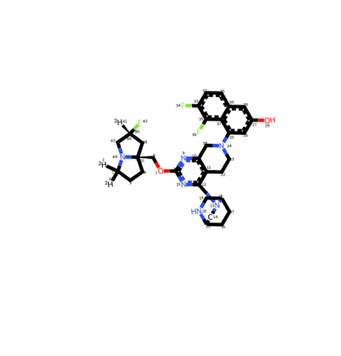 [2H]C1([2H])CC[C@@]2(COc3nc4c(c(N5CC6CCC5CN6)n3)CCN(c3cc(O)cc5ccc(F)c(F)c35)C4)C[C@@]([2H])(F)CN12